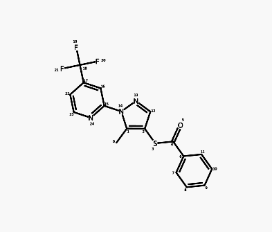 Cc1c(SC(=O)c2ccccc2)cnn1-c1cc(C(F)(F)F)ccn1